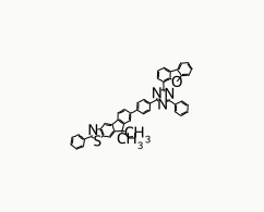 CC1(C)c2cc(-c3ccc(-c4nc(-c5ccccc5)nc(-c5cccc6c5oc5ccccc56)n4)cc3)ccc2-c2cc3nc(-c4ccccc4)sc3cc21